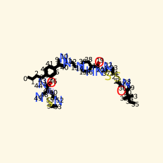 CCCC(c1ccc(-c2cnn(CCN3CCC(C(=O)Nc4ncc(SCc5ncc(C(C)(C)CC)o5)s4)CC3)c2)cc1)N(C)C(=O)/C(C#N)=C/c1nccs1